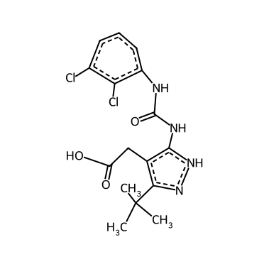 CC(C)(C)c1n[nH]c(NC(=O)Nc2cccc(Cl)c2Cl)c1CC(=O)O